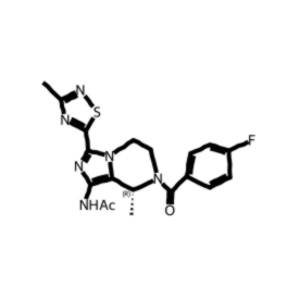 CC(=O)Nc1nc(-c2nc(C)ns2)n2c1[C@@H](C)N(C(=O)c1ccc(F)cc1)CC2